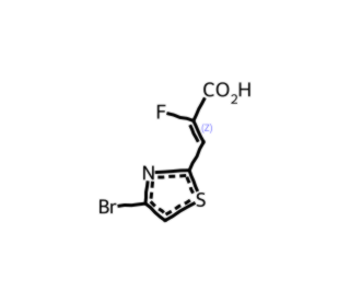 O=C(O)/C(F)=C/c1nc(Br)cs1